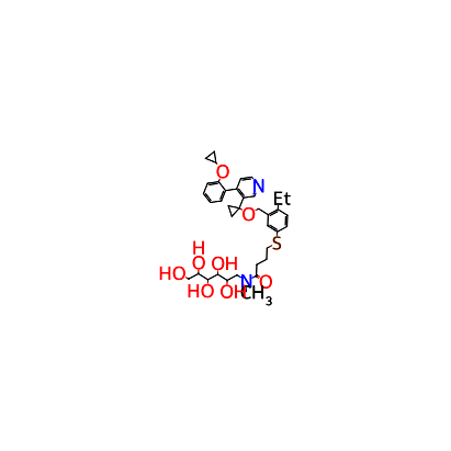 CCc1ccc(SCCCC(=O)N(C)CC(O)C(O)C(O)C(O)CO)cc1COC1(c2cnccc2-c2ccccc2OC2CC2)CC1